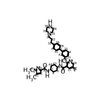 Cc1cc(C(=O)N[C@H]2CC[C@H](NC(=O)c3cc(F)cnc3Oc3cccc(-c4ccc(CCCN5CCNCC5)cc4)c3)CC2)nn1C